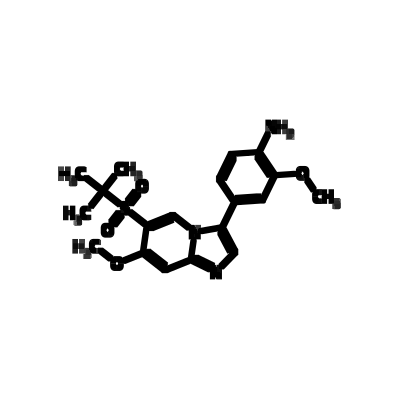 COc1cc(-c2cnc3cc(OC)c(S(=O)(=O)C(C)(C)C)cn23)ccc1N